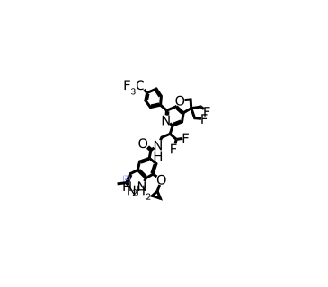 C/C(N)=C/c1cc(C(=O)NCC(c2cc3c(c(-c4ccc(C(F)(F)F)cc4)n2)OCC3(CF)CF)C(F)F)cc(OC2CC2)c1N